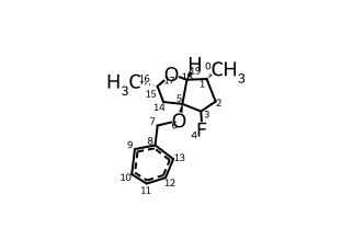 C[C@@H]1CC(F)[C@]2(OCc3ccccc3)C[C@H](C)O[C@H]12